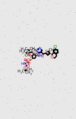 Cc1sc(C(=O)c2cncnc2N[C@@H]2C[C@H](COS(=O)(=O)NC(=O)OC(C)(C)C)[C@@H](O[Si](C(C)C)(C(C)C)C(C)C)C2)cc1[C@@H]1OCCc2ccc(Cl)cc21